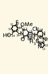 COC[C@H]1C/C(=C/Nc2nc(Nc3ccnn3C)ncc2Cl)C(=N)C(=O)N1Cc1cc(F)ccc1CO